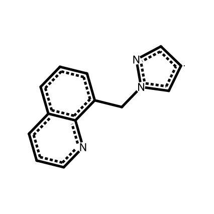 [c]1cnn(Cc2cccc3cccnc23)c1